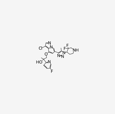 Cc1c(-c2cc(OCC(C)(O)c3ccc(F)cn3)c3c(Cl)cnn3c2)nnn1[C@@H]1CCNCC1(F)F